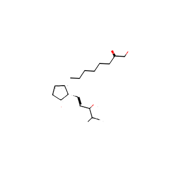 CCCCC(C)C(O)/C=C/[C@@H]1[C@@H](CCCCCCC(=O)CO)[C@@H](O)C[C@H]1O